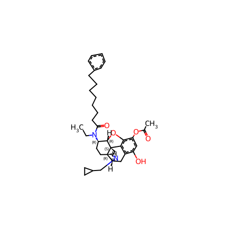 CCN(C(=O)CCCCCCCc1ccccc1)[C@@H]1CC[C@H]2[C@H]3Cc4c(O)cc(OC(C)=O)c5c4[C@@]2(CCN3CC2CC2)[C@H]1O5